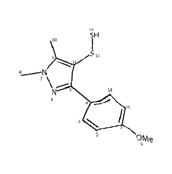 COc1ccc(-c2nn(C)c(C)c2SS)cc1